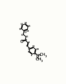 CN(C)c1ccc(C=CC(=O)CCc2ccccc2)cc1